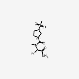 CC(C)C(C(N)=O)N(C)C(=O)[C@H]1CCN(S(C)(=O)=O)C1